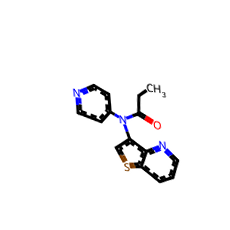 CCC(=O)N(c1ccncc1)c1csc2cccnc12